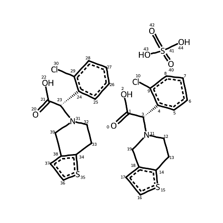 O=C(O)[C@H](c1ccccc1Cl)N1CCc2sccc2C1.O=C(O)[C@H](c1ccccc1Cl)N1CCc2sccc2C1.O=S(=O)(O)O